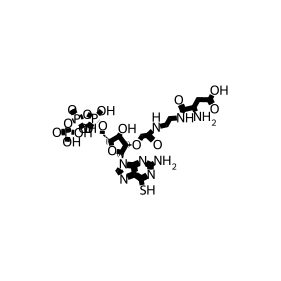 Nc1nc(S)c2ncn([C@@H]3O[C@H](COP(=O)(O)OP(=O)(O)OP(=O)(O)O)C(O)[C@@H]3OCC(=O)NCCNC(=O)C(N)CC(=O)O)c2n1